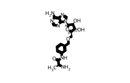 C[C@H](N)C(=O)Nc1cccc(COC[C@H]2O[C@@H](n3cnc4c(N)ncnc43)[C@H](O)[C@@H]2O)c1